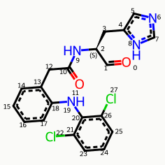 O=C[C@H](Cc1cnc[nH]1)NC(=O)Cc1ccccc1Nc1c(Cl)cccc1Cl